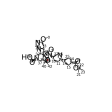 COc1cc(N2C(=O)N(c3ccc(-c4ccc(C(=O)OC(C)(C)C)cc4)nc3)C(=O)C23CCN(C(=O)O)CC3C(C)(C)C)ncn1